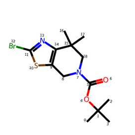 CC(C)(C)OC(=O)N1Cc2sc(Br)nc2C(C)(C)C1